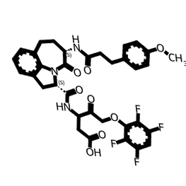 COc1ccc(CCC(=O)N[C@H]2CCc3cccc4c3N(C2=O)[C@H](C(=O)NC(CC(=O)O)C(=O)COc2c(F)c(F)cc(F)c2F)C4)cc1